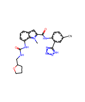 Cn1c(C(=O)Nc2ccc(C#N)cc2-c2nnn[nH]2)cc2cccc(NC(=O)NCC3CCCO3)c21